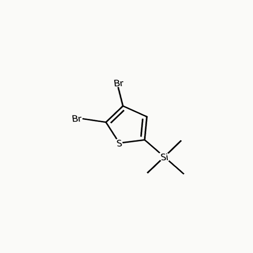 C[Si](C)(C)c1cc(Br)c(Br)s1